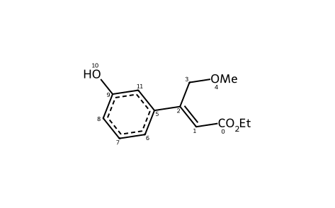 CCOC(=O)C=C(COC)c1cccc(O)c1